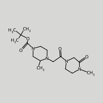 CC1CN(C(=O)OC(C)(C)C)CCN1CC(=O)N1CCN(C)C(=O)C1